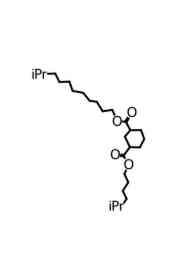 CC(C)CCCCCCCCCOC(=O)C1CCCC(C(=O)OCCCCC(C)C)C1